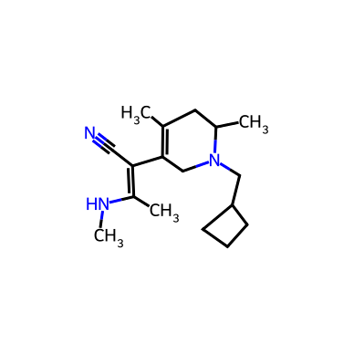 CN/C(C)=C(\C#N)C1=C(C)CC(C)N(CC2CCC2)C1